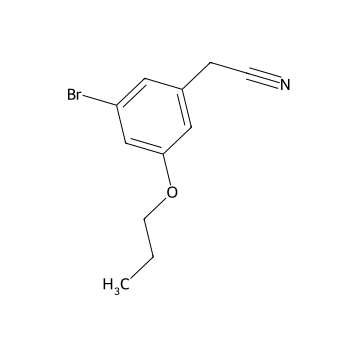 CCCOc1cc(Br)cc(CC#N)c1